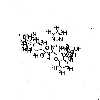 [2H]c1nc(-c2nc(NS(=O)(=O)c3c([2H])c([2H])c(C(C([2H])([2H])[2H])(C([2H])([2H])[2H])C([2H])([2H])[2H])c([2H])c3[2H])c(Oc3c([2H])c([2H])c([2H])c([2H])c3OC([2H])([2H])[2H])c(OC([2H])([2H])C([2H])([2H])O)n2)nc([2H])c1[2H]